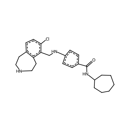 O=C(NC1CCCCCC1)c1ccc(NCc2c(Cl)ccc3c2CCNCC3)cc1